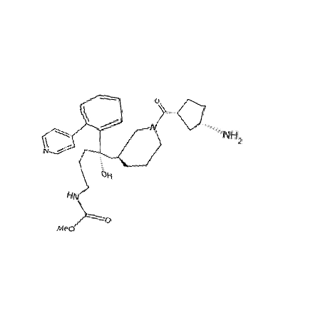 COC(=O)NCCC[C@@](O)(c1ccccc1-c1ccncc1)[C@@H]1CCCN(C(=O)[C@@H]2CC[C@H](N)C2)C1